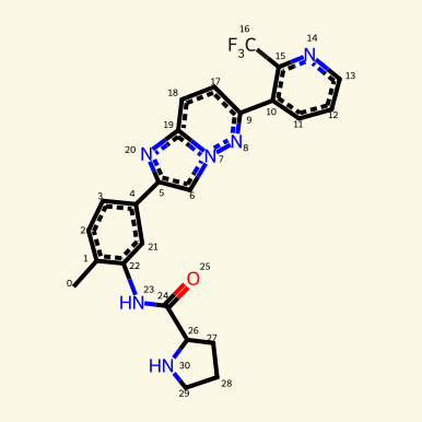 Cc1ccc(-c2cn3nc(-c4cccnc4C(F)(F)F)ccc3n2)cc1NC(=O)C1CCCN1